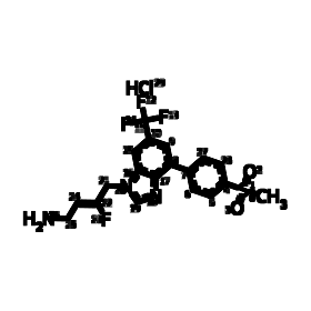 CS(=O)(=O)c1ccc(-c2cc(C(F)(F)F)cc3c2ncn3C/C(F)=C/CN)cc1.Cl